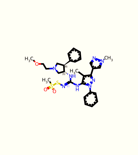 COCCN1C[C@@H](N/C(=N\SS(C)(=O)=O)Nc2c(C)c(-c3cnn(C)c3)nn2-c2ccccc2)[C@H](c2ccccc2)C1